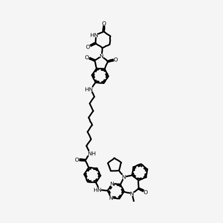 CN1C(=O)c2ccccc2N(C2CCCC2)c2nc(Nc3ccc(C(=O)NCCCCCCCCNc4ccc5c(c4)C(=O)N(C4CCC(=O)NC4=O)C5=O)cc3)ncc21